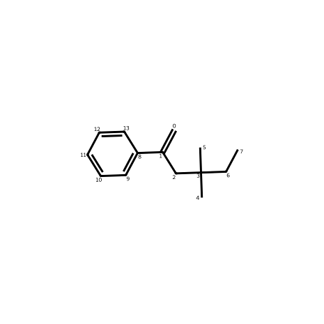 C=C(CC(C)(C)CC)c1ccccc1